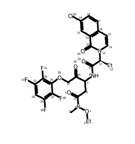 CCON(C)C(=O)CC(NC(=O)[C@H](CC)n1ccc2ccc(Cl)cc2c1=O)C(=O)COc1c(F)c(F)cc(F)c1F